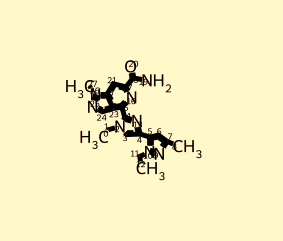 CCn1cc(-c2cc(C)nn2CC)nc1-c1nc(C(N)=O)cc2c1cnn2C